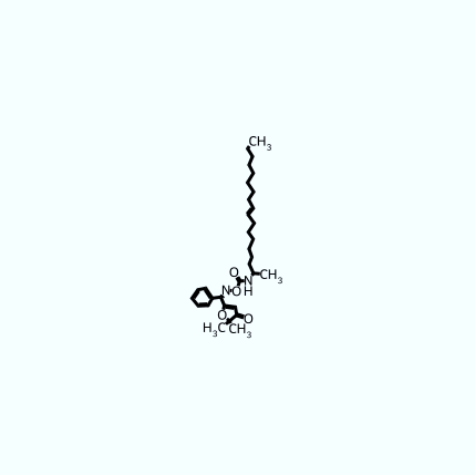 CCCCCCCCC=CCCCCCCC(C)NC(=O)ON=C(C1=CC(=O)C(C)(C)O1)c1ccccc1